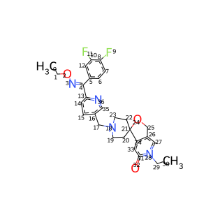 CCON=C(c1ccc(F)c(F)c1)c1ccc(CN2CCC3(CC2)OCc2cn(CC)c(=O)cc23)cn1